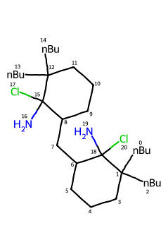 CCCCC1(CCCC)CCCC(CC2CCCC(CCCC)(CCCC)C2(N)Cl)C1(N)Cl